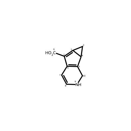 O=C(O)C1=C2CC2C2=C1C=CNC2